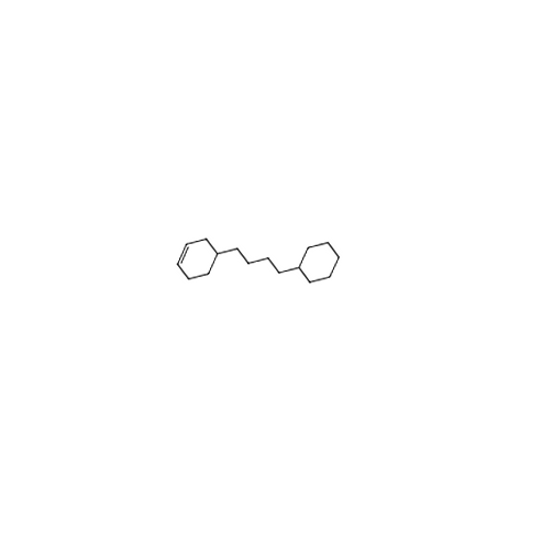 C1=CCC(CCCCC2CCCCC2)CC1